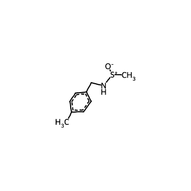 Cc1ccc(CN[S+](C)[O-])cc1